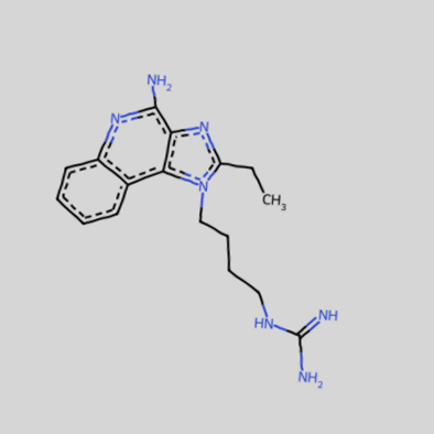 CCc1nc2c(N)nc3ccccc3c2n1CCCCNC(=N)N